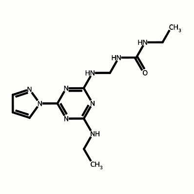 CCNC(=O)NCNc1nc(NCC)nc(-n2cccn2)n1